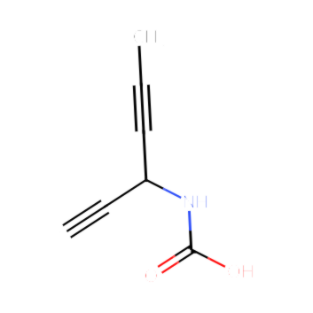 [C]#CC(C#CC)NC(=O)O